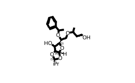 CC(CCO)OCC(OC(C)c1ccccc1)[C@H]1O[C@@H]2O[C@@H](C(C)C)OC2C1O